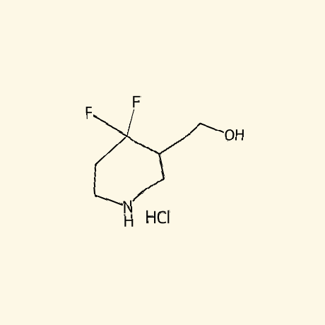 Cl.OCC1CNCCC1(F)F